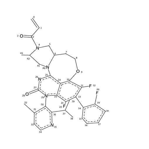 C=CC(=O)N1CC2CCOc3c(F)c(-c4ccccc4F)c(F)c4c3c(nc(=O)n4-c3c(C)ccnc3C(C)C)N2CC1C